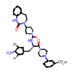 Nc1c(Br)cc(C[C@@H](NC(=O)N2CCC(N3CCc4ccccc4NC3=O)CC2)C(=O)N2CCN(c3cccc(C(=O)O)c3)CC2)cc1Br